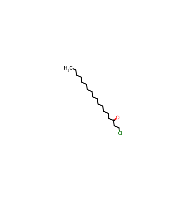 CCCCCCCCCCCCCCCC(=O)CCCl